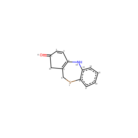 O=C1C=CC2=C(CSc3ccccc3N2)C1